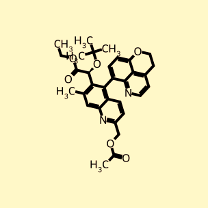 CCOC(=O)[C@@H](OC(C)(C)C)c1c(C)cc2nc(COC(C)=O)ccc2c1-c1ccc2c3c(ccnc13)CCO2